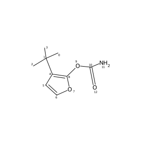 CC(C)(C)c1ccoc1OC(N)=O